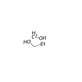 CCCO.CO